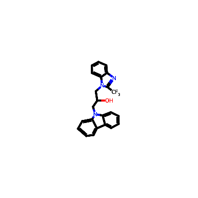 OC(Cn1c(C(F)(F)F)nc2ccccc21)Cn1c2ccccc2c2ccccc21